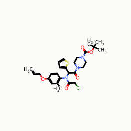 C=CCOc1ccc(N(C(=O)CCl)C(C(=O)N2CCN(C(=O)OC(C)(C)C)CC2)c2cccs2)c(C)c1